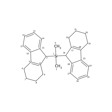 C[Si](C)(C1C2=C(CCCC2)c2ccccc21)C1C2=C(CCCC2)c2ccccc21